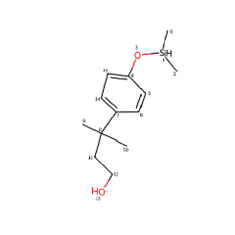 C[SiH](C)Oc1ccc(C(C)(C)CCO)cc1